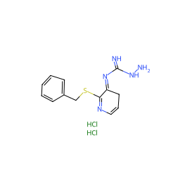 Cl.Cl.N=C(N=C1CC=CN=C1SCc1ccccc1)NN